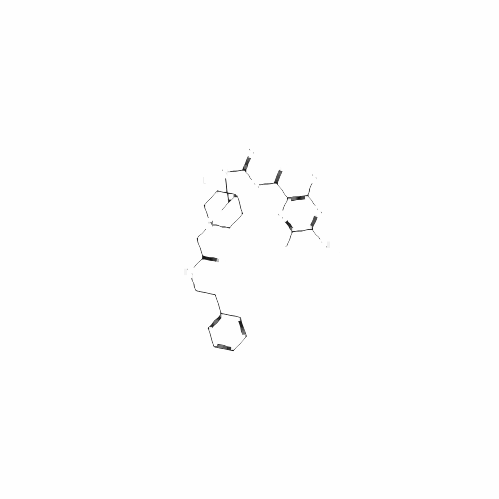 N=C(NC(=O)c1nc(Cl)c(N)nc1N)N[C@@H]1C[N+]2(CC(=O)N[C@H](Cc3ccccc3)C(=O)O)CCC1CC2